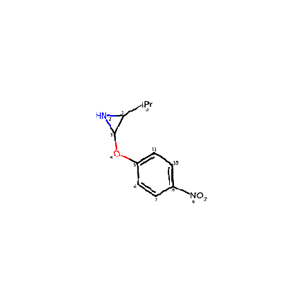 CC(C)C1NC1Oc1ccc([N+](=O)[O-])cc1